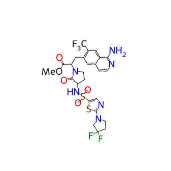 COC(=O)C(Cc1cc2ccnc(N)c2cc1C(F)(F)F)N1CCC(NS(=O)(=O)c2cnc(N3CCC(F)(F)C3)s2)C1=O